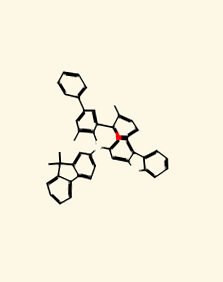 Cc1ccccc1-c1cc(-c2ccccc2)cc(C)c1N(c1ccc2c(c1)C(C)(C)c1ccccc1-2)c1ccc2c(c1)oc1ccccc12